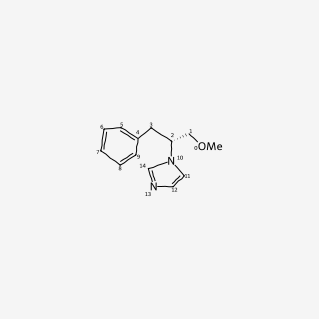 COC[C@@H](Cc1ccccc1)n1ccnc1